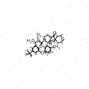 Cc1cc([C@@H](C)N(C)C(=O)N2CCN3C(=O)C4(CCOCC4)C[C@H]3[C@@H]2c2ccccc2C)cc(C(F)(F)I)c1